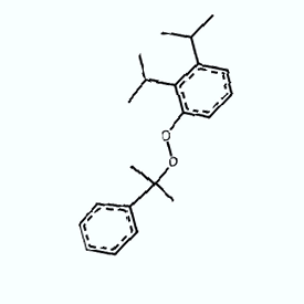 CC(C)c1cccc(OOC(C)(C)c2ccccc2)c1C(C)C